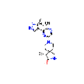 CCC1C(=O)NCC12CCN(c1cnc(C#N)c(-c3c[nH]nc3C)n1)CC2